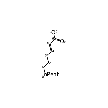 CCCCCCCCC=CC([O])=O